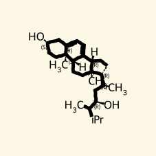 CC(C)C(C)[C@H](O)C[C@@H](C)[C@H]1CC[C@H]2C3=CC=C4C[C@@H](O)CC[C@]4(C)[C@H]3CC[C@]12C